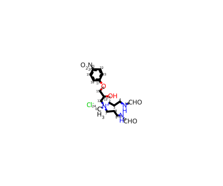 C[N+](CCCNC=O)(CCCNC=O)CC(O)COc1ccc([N+](=O)[O-])cc1.[Cl-]